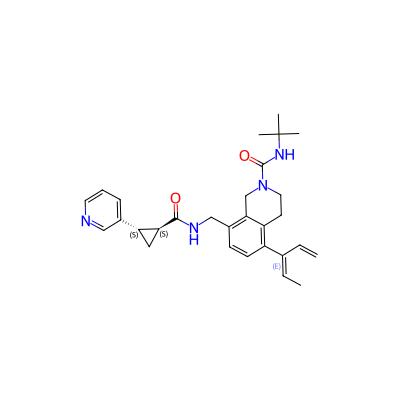 C=C/C(=C\C)c1ccc(CNC(=O)[C@H]2C[C@@H]2c2cccnc2)c2c1CCN(C(=O)NC(C)(C)C)C2